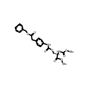 CC(C)(C)OC(=O)N[C@H](COC(=O)Nc1ccc(CC(=O)OCc2ccccc2)cc1)C(=O)OC(C)(C)C